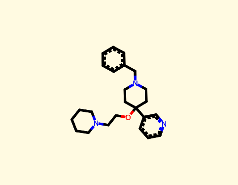 c1ccc(CN2CCC(OCCN3CCCCC3)(c3cccnc3)CC2)cc1